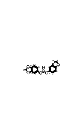 B(Oc1ccc2c(c1)OCO2)Oc1ccc2c(c1)OCO2